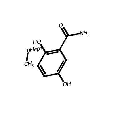 CCCCCCCC.NC(=O)c1cc(O)ccc1O